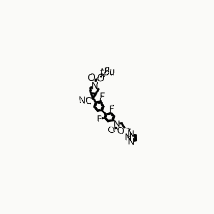 CC(C)(C)OC(=O)N1CC2C(C1)C2(C#N)c1ccc(-c2c(F)cc(N3C[C@H](Cn4ccnn4)OC3=O)cc2F)cc1F